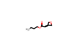 CCCCOC(=O)C=C1COC1